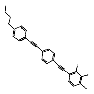 CCCCc1ccc(C#Cc2ccc(C#Cc3ccc(C)c(F)c3F)cc2)cc1